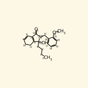 CCCCC1(O)C2=C(C=CCC2)C(=O)N1Cc1ccccc1OC